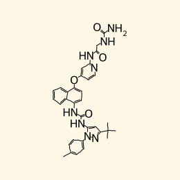 Cc1ccc(-n2nc(C(C)(C)C)cc2NC(=O)Nc2ccc(Oc3ccnc(NC(=O)CNC(N)=O)c3)c3ccccc23)cc1